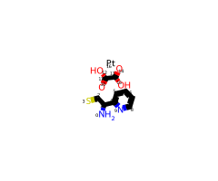 NC(C=S)c1ccccn1.O=C(O)C(=O)O.[Pt]